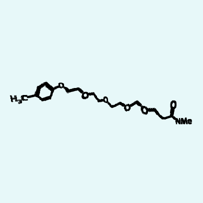 CNC(=O)CCOCOCCOCCOCCOc1ccc(C)cc1